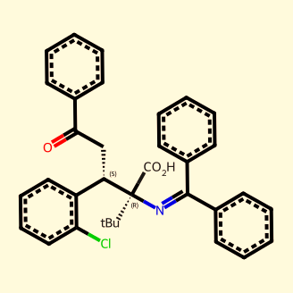 CC(C)(C)[C@@](N=C(c1ccccc1)c1ccccc1)(C(=O)O)[C@@H](CC(=O)c1ccccc1)c1ccccc1Cl